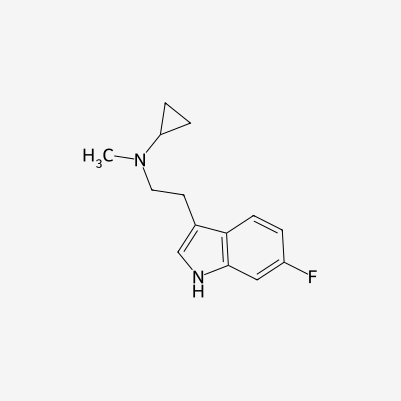 CN(CCc1c[nH]c2cc(F)ccc12)C1CC1